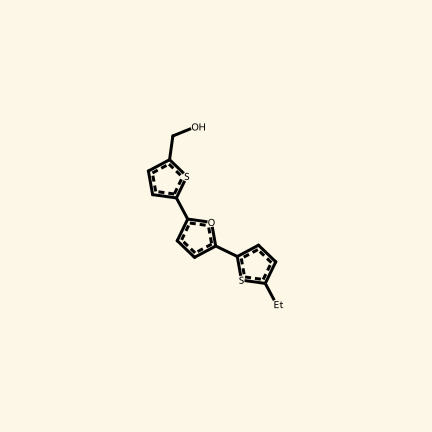 CCc1ccc(-c2ccc(-c3ccc(CO)s3)o2)s1